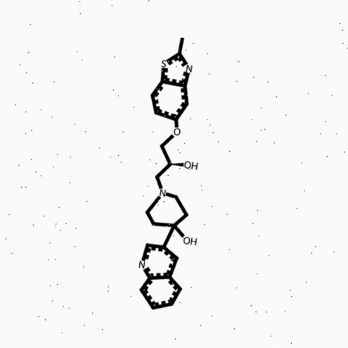 Cc1nc2cc(OC[C@@H](O)CN3CCC(O)(c4cnc5ccccc5c4)CC3)ccc2s1